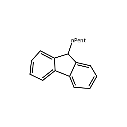 CCCCCC1c2ccccc2-c2ccccc21